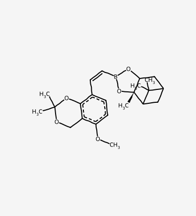 COc1ccc(/C=C\B2OC3CC4CC(C4(C)C)[C@]3(C)O2)c2c1COC(C)(C)O2